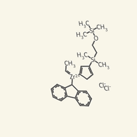 C[CH]=[Zr+2]([C]1=CC([Si](C)(C)CCO[Si](C)(C)C)=CC1)[CH]1c2ccccc2-c2ccccc21.[Cl-].[Cl-]